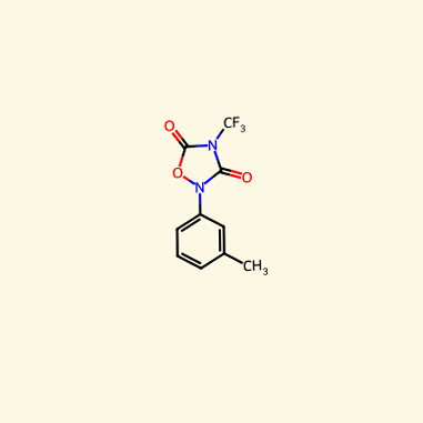 Cc1cccc(-n2oc(=O)n(C(F)(F)F)c2=O)c1